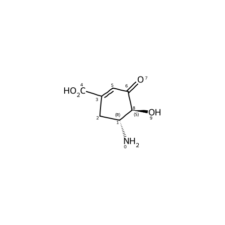 N[C@@H]1CC(C(=O)O)=CC(=O)[C@H]1O